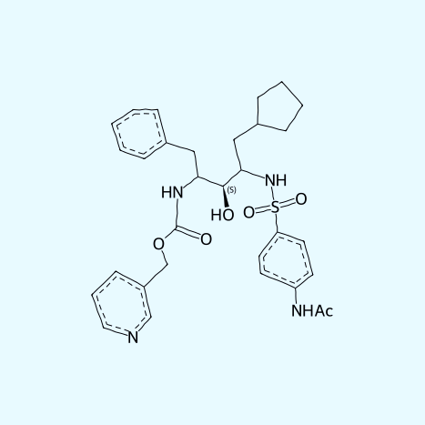 CC(=O)Nc1ccc(S(=O)(=O)NC(CC2CCCC2)[C@@H](O)C(Cc2ccccc2)NC(=O)OCc2cccnc2)cc1